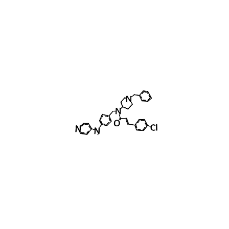 CN(c1ccncc1)c1ccc(CN(C(=O)/C=C/c2ccc(Cl)cc2)C2CCN(Cc3ccccc3)CC2)cc1